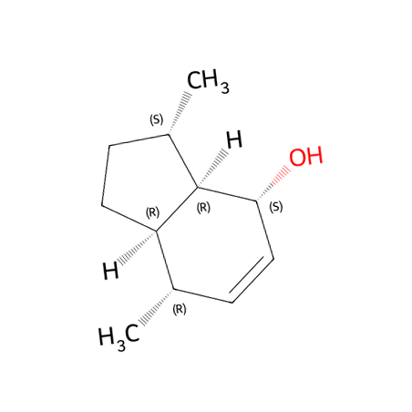 C[C@H]1C=C[C@@H](O)[C@H]2[C@@H]1CC[C@@H]2C